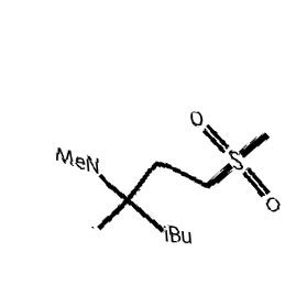 [CH2]C(CCS(C)(=O)=O)(NC)C(C)CC